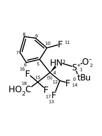 CC(C)(C)[S+]([O-])N[C@@](c1ccccc1F)(C(F)F)C(F)(F)C(=O)O